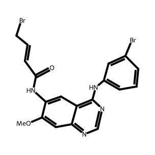 COc1cc2ncnc(Nc3cccc(Br)c3)c2cc1NC(=O)/C=C/CBr